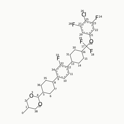 CC1COC(C2CCC(c3ccc(C4CCC(C(F)(F)Oc5cc(F)c(Cl)c(F)c5)CC4)c(F)c3)CC2)OC1